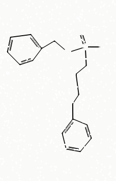 O=P(O)(CCCCc1ccccc1)OCc1ccccc1